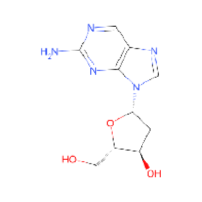 Nc1ncc2ncn([C@@H]3C[C@@H](O)[C@H](CO)O3)c2n1